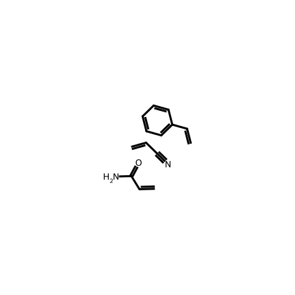 C=CC#N.C=CC(N)=O.C=Cc1ccccc1